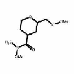 CNOCC1CC(C(=O)N(C)OC)CCO1